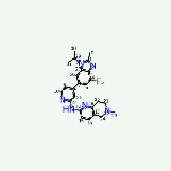 Cc1nc2c(F)cc(-c3ccnc(Nc4ccc5c(n4)CCN(C)C5)c3)cc2n1C(C)C